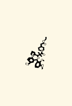 CCOC(=O)CC1CCN(C(=O)C(C)(C)C2OC(c3cccc(OC)c3OC)c3cc(Cl)ccc3-n3cccc32)CC1